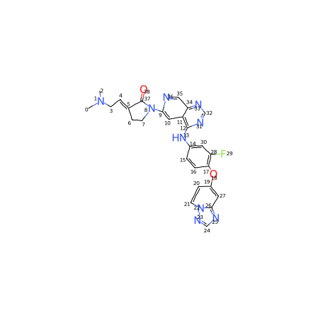 CN(C)C/C=C1\CCN(c2cc3c(Nc4ccc(Oc5ccn6ncnc6c5)c(F)c4)ncnc3cn2)C1=O